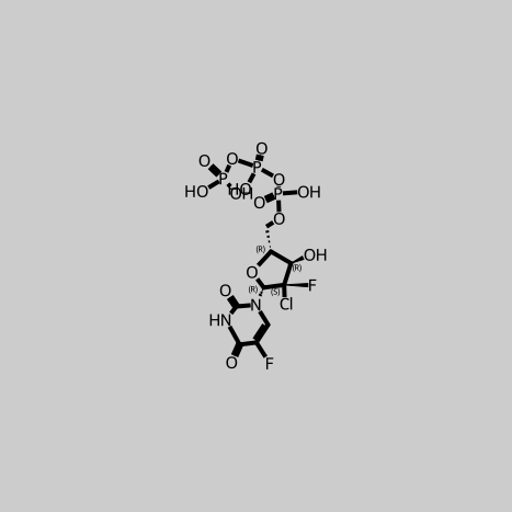 O=c1[nH]c(=O)n([C@@H]2O[C@H](COP(=O)(O)OP(=O)(O)OP(=O)(O)O)[C@@H](O)[C@]2(F)Cl)cc1F